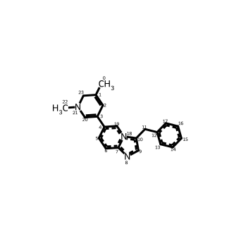 CC1=CC(c2ccc3ncc(Cc4ccccc4)n3c2)=CN(C)C1